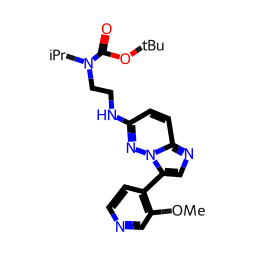 COc1cnccc1-c1cnc2ccc(NCCN(C(=O)OC(C)(C)C)C(C)C)nn12